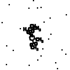 COC(=O)C1CCN(C(=O)OC(C)(C)C)CC1C